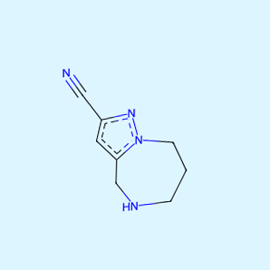 N#Cc1cc2n(n1)CCCNC2